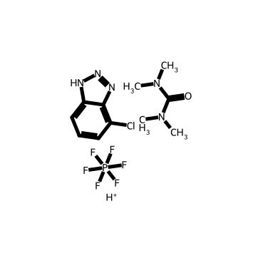 CN(C)C(=O)N(C)C.Clc1cccc2[nH]nnc12.F[P-](F)(F)(F)(F)F.[H+]